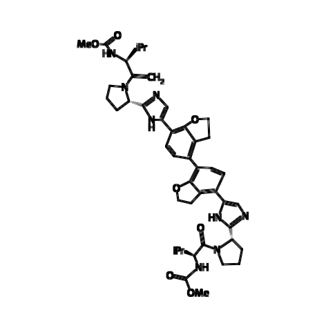 C=C([C@@H](NC(=O)OC)C(C)C)N1CCC[C@H]1c1ncc(-c2ccc(-c3ccc(-c4cnc([C@@H]5CCCN5C(=O)[C@@H](NC(=O)OC)C(C)C)[nH]4)c4c3OCC4)c3c2OCC3)[nH]1